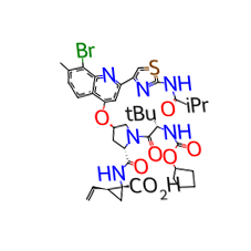 C=C[C@@H]1C[C@]1(NC(=O)[C@@H]1C[C@@H](Oc2cc(-c3csc(NC(=O)C(C)C)n3)nc3c(Br)c(C)ccc23)CN1C(=O)[C@@H](NC(=O)OC1CCCC1)C(C)(C)C)C(=O)O